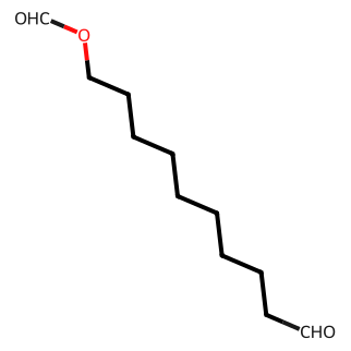 O=CCCCCCCCCCOC=O